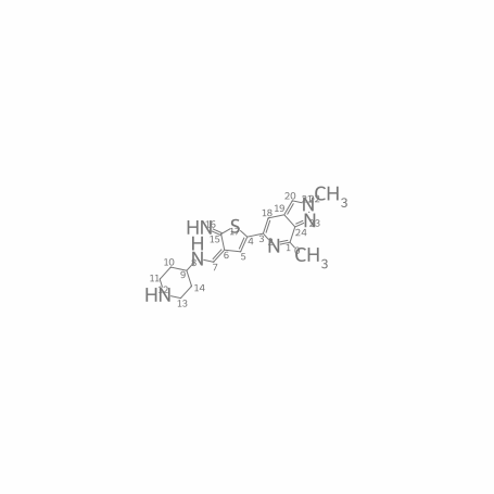 Cc1nc(C2=C/C(=C/NC3CCNCC3)C(=N)S2)cc2cn(C)nc12